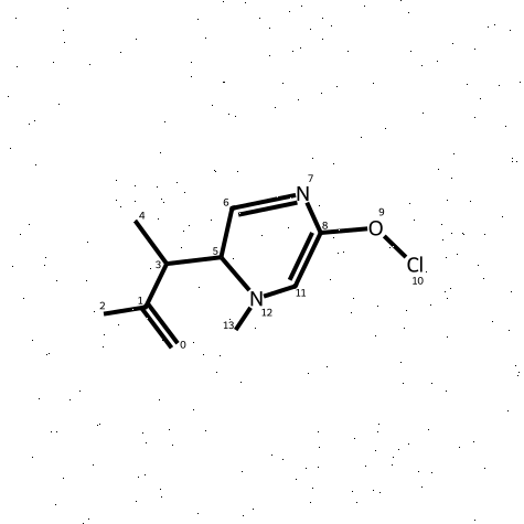 C=C(C)C(C)C1C=NC(OCl)=CN1C